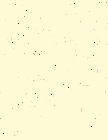 OC(c1cnc2cncc(-c3ccc(Cl)cc3)c2n1)N1CCOCC1